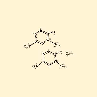 O=[N+]([O-])c1ccc([O-])c([N+](=O)[O-])c1.O=[N+]([O-])c1ccc([O-])c([N+](=O)[O-])c1.[Cu+2]